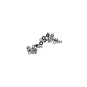 COC(=O)N[C@H](C(=O)N1CCC[C@H]1c1ncc(-c2ccc3c(c2)Oc2ccc(-c4cnc([C@@H]5CCCN5C(=O)[C@@H](NC(=O)CO)C(C)C)[nH]4)c4ccn-3c24)[nH]1)C(C)C